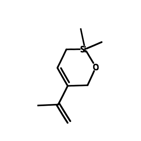 C=C(C)C1=CC[Si](C)(C)OC1